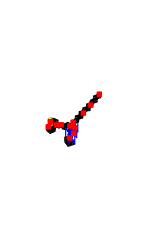 CCCCCCCCCCCCCCCc1nn2nc(-c3ccccn3)nc2\c1=C/C(C)=C/C=C1\C=CSc2ccccc21